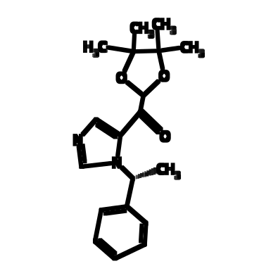 C[C@H](c1ccccc1)n1cncc1C(=O)C1OC(C)(C)C(C)(C)O1